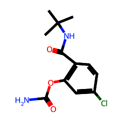 CC(C)(C)NC(=O)c1ccc(Cl)cc1OC(N)=O